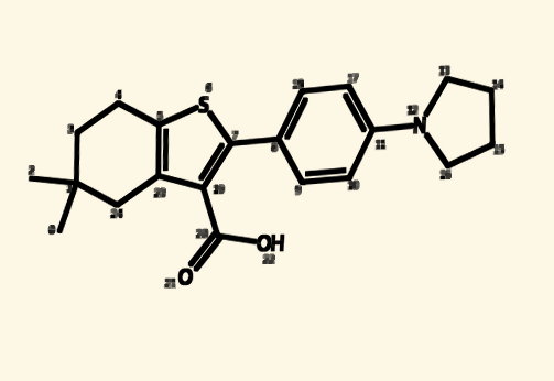 CC1(C)CCc2sc(-c3ccc(N4CCCC4)cc3)c(C(=O)O)c2C1